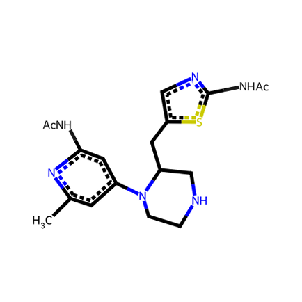 CC(=O)Nc1cc(N2CCNCC2Cc2cnc(NC(C)=O)s2)cc(C)n1